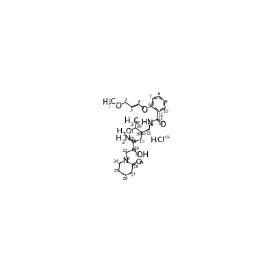 COCCCOc1ccccc1C(=O)NC[C@@H](C[C@H](N)[C@@H](O)CN1CCCCC1=O)C(C)C.Cl